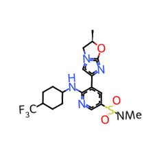 CNS(=O)(=O)c1cnc(NC2CCC(C(F)(F)F)CC2)c(-c2cn3c(n2)O[C@H](C)C3)c1